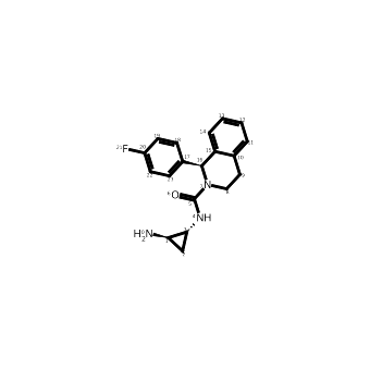 N[C@@H]1C[C@H]1NC(=O)N1CCc2ccccc2[C@@H]1c1ccc(F)cc1